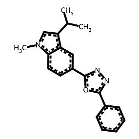 CC(C)c1cn(C)c2ccc(-c3nnc(-c4ccccc4)o3)cc12